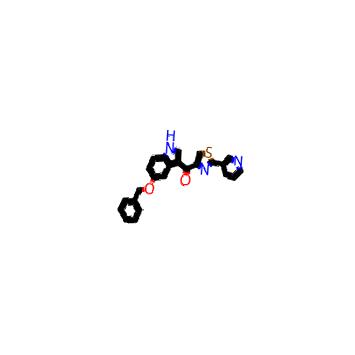 O=C(c1csc(-c2cccnc2)n1)c1c[nH]c2ccc(OCc3ccccc3)cc12